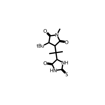 CN1C(=O)C(C(C)(C)C)C(C(C)(C)C2NC(=S)NC2=O)C1=O